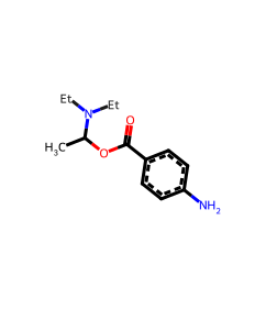 CCN(CC)C(C)OC(=O)c1ccc(N)cc1